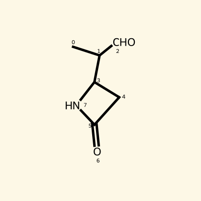 CC(C=O)C1CC(=O)N1